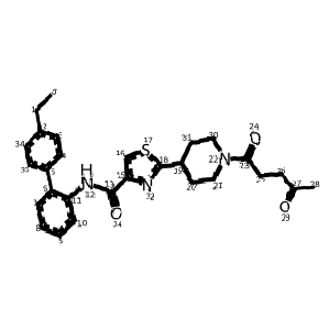 CCc1ccc(-c2ccccc2NC(=O)c2csc(C3CCN(C(=O)CCC(C)=O)CC3)n2)cc1